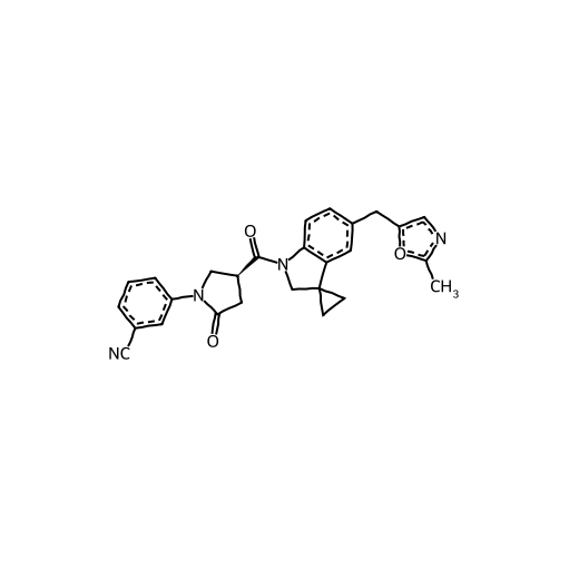 Cc1ncc(Cc2ccc3c(c2)C2(CC2)CN3C(=O)[C@H]2CC(=O)N(c3cccc(C#N)c3)C2)o1